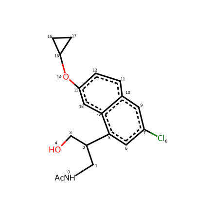 CC(=O)NCC(CO)c1cc(Cl)cc2ccc(OC3CC3)cc12